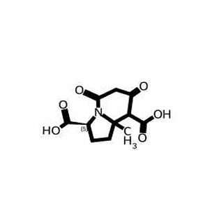 CC12CC[C@@H](C(=O)O)N1C(=O)CC(=O)C2C(=O)O